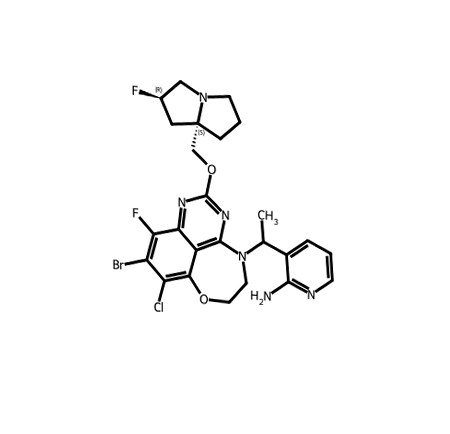 CC(c1cccnc1N)N1CCOc2c(Cl)c(Br)c(F)c3nc(OC[C@@]45CCCN4C[C@H](F)C5)nc1c23